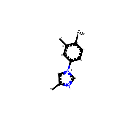 COc1ccc(-n2cnc(C)c2)cc1C